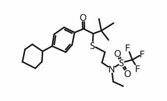 CCN(CCSC(C(=O)c1ccc(C2CCCCC2)cc1)C(C)(C)C)S(=O)(=O)C(F)(F)F